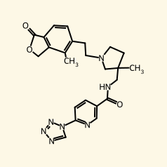 Cc1c(CCN2CCC(C)(CNC(=O)c3ccc(-n4cnnn4)nc3)C2)ccc2c1COC2=O